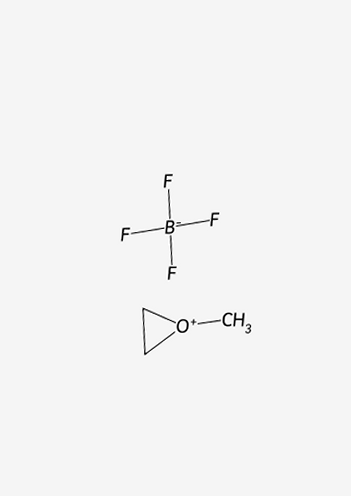 C[O+]1CC1.F[B-](F)(F)F